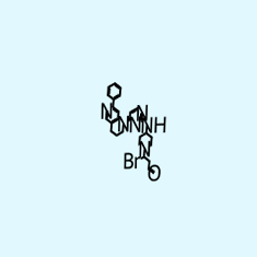 O=CCC(Br)N1CCC(Nc2nccc(N3CCCc4cnc(-c5ccccc5)cc43)n2)CC1